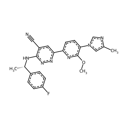 COc1nc(-c2cc(C#N)c(N[C@@H](C)c3ccc(F)cc3)nn2)ccc1-n1cnc(C)c1